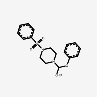 O=CC(Oc1ccccc1)N1CCN(S(=O)(=O)c2ccccc2)CC1